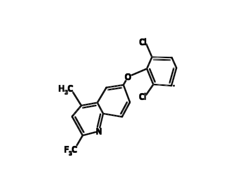 Cc1cc(C(F)(F)F)nc2ccc(Oc3c(Cl)[c]ccc3Cl)cc12